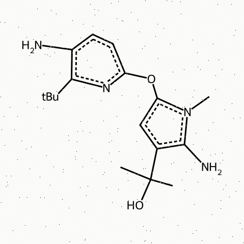 Cn1c(Oc2ccc(N)c(C(C)(C)C)n2)cc(C(C)(C)O)c1N